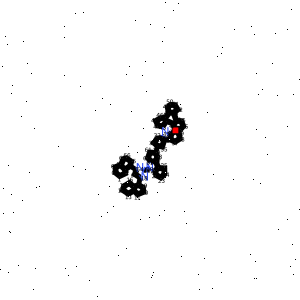 c1ccc2c(-c3cc(-c4cccc5ccccc45)nc(-n4c5ccccc5c5cc(-c6ccc7c(c6)c6ccccc6n7-c6cccc7c8ccccc8c8ccccc8c67)ccc54)n3)cccc2c1